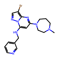 CN1CCCN(c2cc(NCc3cccnc3)n3ncc(Br)c3n2)CC1